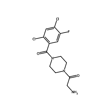 NCC(=O)N1CCN(C(=O)c2cc(F)c(Cl)cc2Cl)CC1